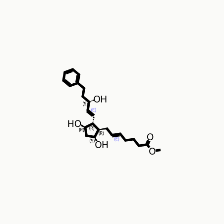 COC(=O)CCC/C=C/C[C@@H]1[C@@H](/C=C/[C@@H](O)CCc2ccccc2)[C@H](O)C[C@@H]1O